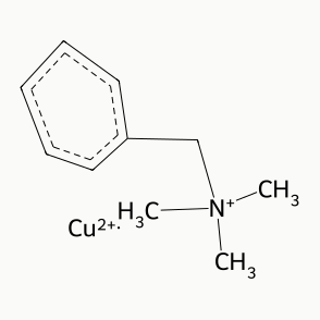 C[N+](C)(C)Cc1ccccc1.[Cu+2]